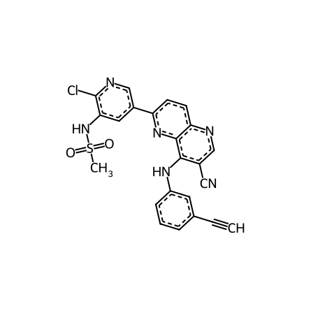 C#Cc1cccc(Nc2c(C#N)cnc3ccc(-c4cnc(Cl)c(NS(C)(=O)=O)c4)nc23)c1